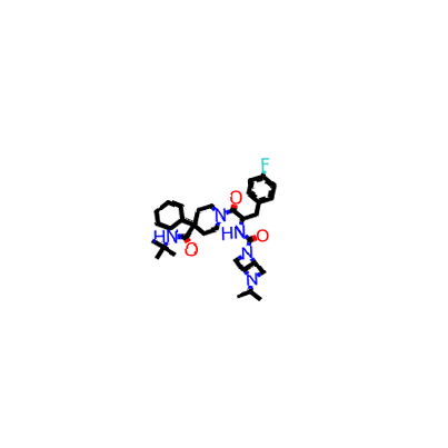 CC(C)N1CC2C1CN2C(=O)NC(Cc1ccc(F)cc1)C(=O)N1CCC(C(=O)NC(C)(C)C)(C2CCCCC2)CC1